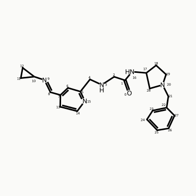 O=C(CNCc1cc(C=NC2CC2)ccn1)NC1CCN(Cc2ccccc2)C1